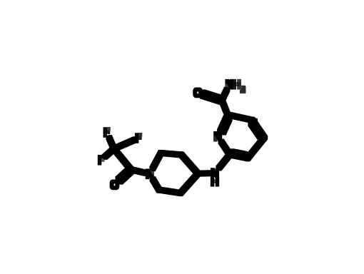 NC(=O)c1[c]ccc(NC2CCN(C(=O)C(F)(F)F)CC2)n1